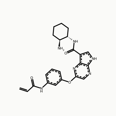 C=CC(=O)Nc1cccc(Oc2cnc3[nH]cc(C(=O)N[C@H]4CCCC[C@@H]4N)c3n2)c1